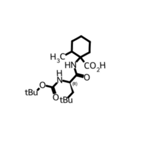 CC1CCCCC1(NC(=O)[C@@H](CC(C)(C)C)NC(=O)OC(C)(C)C)C(=O)O